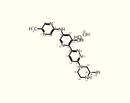 Cc1cnc(Nc2cnc(-c3ccc(N4CCN[C@H](C(C)C)C4)nn3)c(O)c2)cn1.Cl.Cl